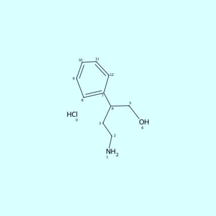 Cl.NCCC(CO)c1ccccc1